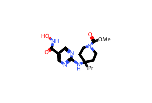 COC(=O)N1CCC(Nc2ncc(C(=O)NO)cn2)(C(C)C)CC1